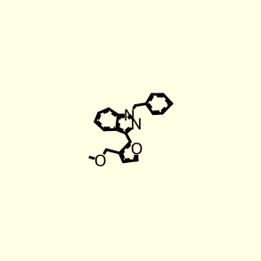 COCc1ccoc1-c1nn(Cc2ccccc2)c2ccccc12